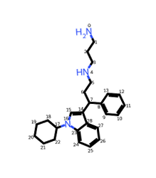 NCCCNCCC(c1ccccc1)c1cn(C2CCCCC2)c2ccccc12